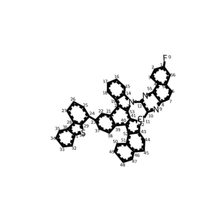 Fc1ccc2c(ccc3nc(Cl)c(-n4c5ccccc5c5c6cc(-c7cccc8c7sc7ccccc78)ccc6c6c(sc7ccc8ccccc8c76)c54)nc32)c1